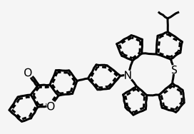 CC(C)c1ccc2c(c1)-c1ccccc1N(c1ccc(-c3ccc4c(=O)c5ccccc5oc4c3)cc1)c1ccccc1-c1ccccc1S2